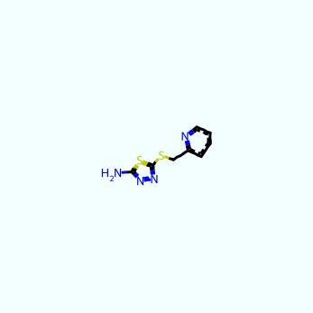 Nc1nnc(SCc2ccccn2)s1